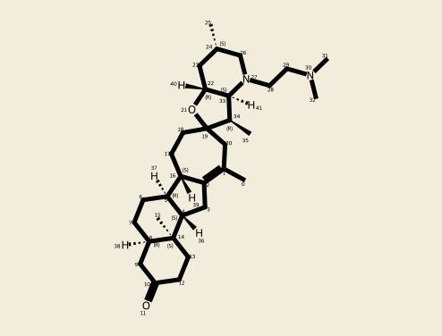 CC1=C2C[C@H]3[C@@H](CC[C@@H]4CC(=O)CC[C@@]43C)[C@@H]2CCC2(C1)O[C@@H]1C[C@H](C)CN(CCN(C)C)[C@H]1[C@H]2C